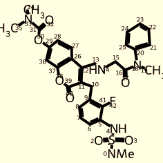 CNS(=O)(=O)Nc1cccc(Cc2c(CNCC(=O)N(C)c3ccccc3)c3ccc(OC(=O)N(C)C)cc3oc2=O)c1F